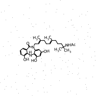 CC(=O)NC(C)(C)CCC/C(C)=C/CC/C(C)=C/CN1C(=O)c2cccc(O)c2Nc2c(O)cc(O)cc21